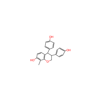 Cc1c(O)ccc2c1OCC(c1ccc(O)cc1)C2c1ccc(O)cc1